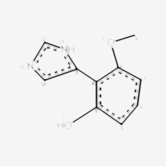 COc1cccc(O)c1-c1cnc[nH]1